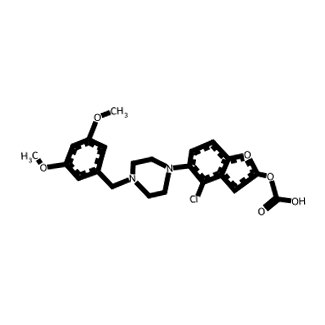 COc1cc(CN2CCN(c3ccc4oc(OC(=O)O)cc4c3Cl)CC2)cc(OC)c1